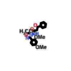 COc1ccc(C2=NOC(C)(C)N2NC(=O)CC(=O)c2ccccc2)c(OC)c1